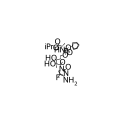 CC(C)OC(=O)[C@@H](C)NP(=O)(OC[C@H]1O[C@@H](n2cc(F)c(N)nc2=O)[C@](C)(O)[C@@H]1O)Oc1ccccc1